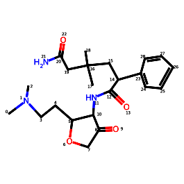 CN(C)CCC1OCC(=O)C1NC(=O)C(CC(C)(C)CC(N)=O)c1ccccc1